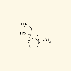 B[N+]12CCC(C1)C(O)(CN)C2